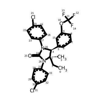 CC[C@]1(C)[C@H](c2cccc(OC(F)(F)F)c2)N(c2ccc(Cl)cc2)C(=O)N1c1ccc(Cl)cc1